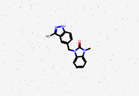 Cn1c(=O)n(Cc2ccc3[nH]nc(C#N)c3c2)c2ccccc21